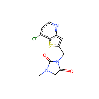 CN1CC(=O)N(Cc2cc3nccc(Cl)c3s2)C1=O